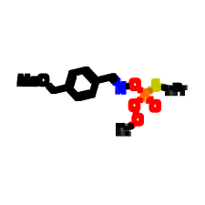 CCCSP(=O)(ON=Cc1ccc(COC)cc1)OOCC